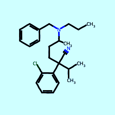 CCCN(Cc1ccccc1)C(C)CCC(C#N)(c1ccccc1Cl)C(C)C